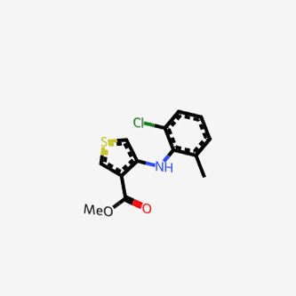 COC(=O)c1cscc1Nc1c(C)cccc1Cl